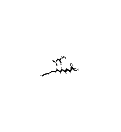 CCCCCCCCCCCC(=O)O.CN(C)CC(N)=O